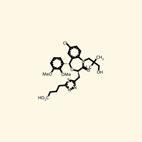 COc1cccc([C@H]2O[C@H](Cc3nnc(CCCC(=O)O)s3)C(=O)N(CC(C)(C)CO)c3ccc(Cl)cc32)c1OC